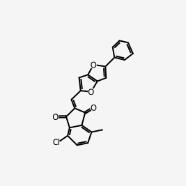 Cc1ccc(Cl)c2c1C(=O)/C(=C\c1cc3oc(-c4ccccc4)cc3o1)C2=O